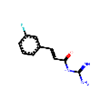 N=C(N)NC(=O)/C=C/c1cccc(F)c1